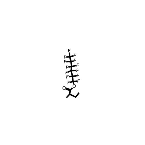 CCC(C)C(=O)OC(F)(F)C(F)(F)C(F)(F)C(F)(F)C(F)(F)C(F)(F)F